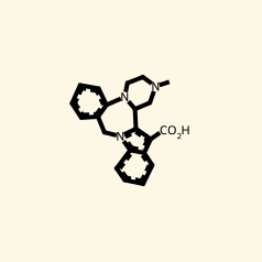 CN1CCN2c3ccccc3Cn3c(c(C(=O)O)c4ccccc43)C2C1